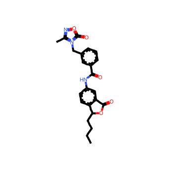 CCCCC1OC(=O)c2cc(NC(=O)c3cccc(Cn4c(C)noc4=O)c3)ccc21